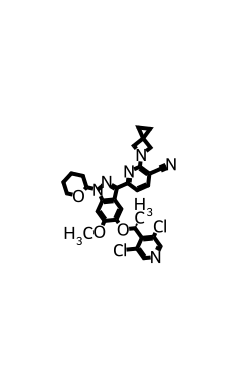 COc1cc2c(cc1O[C@H](C)c1c(Cl)cncc1Cl)c(-c1ccc(C#N)c(N3CC4(CC4)C3)n1)nn2C1CCCCO1